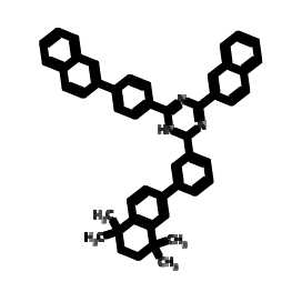 CC1(C)CCC(C)(C)c2cc(-c3cccc(C4N=C(c5ccc6ccccc6c5)N=C(c5ccc(-c6ccc7ccccc7c6)cc5)N4)c3)ccc21